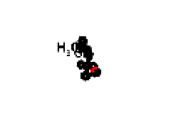 Cn1c(=O)n2c3cc(-c4c5ccccc5c(-c5ccccc5-c5ccccc5)c5ccccc45)ccc3cc2c2ccccc21